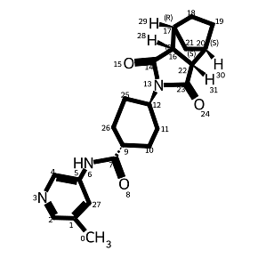 Cc1cncc(NC(=O)[C@H]2CC[C@H](N3C(=O)[C@@H]4[C@@H]5CC[C@@H](C5)[C@@H]4C3=O)CC2)c1